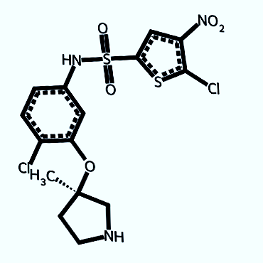 C[C@@]1(Oc2cc(NS(=O)(=O)c3cc([N+](=O)[O-])c(Cl)s3)ccc2Cl)CCNC1